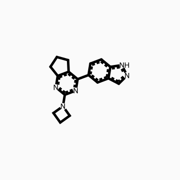 c1cc2[nH]ncc2cc1-c1nc(N2CCC2)nc2c1CCC2